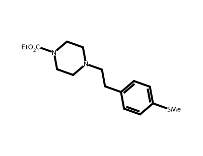 CCOC(=O)N1CCN(CCc2ccc(SC)cc2)CC1